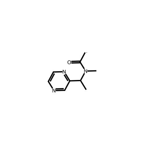 [CH2]C(=O)N(C)C(C)c1cnccn1